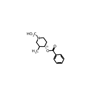 CC1CN(C(=O)O)CC[C@@H]1OC(=O)c1ccccc1